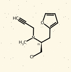 C#CCN(C)[C@H](CCl)Cc1ccco1